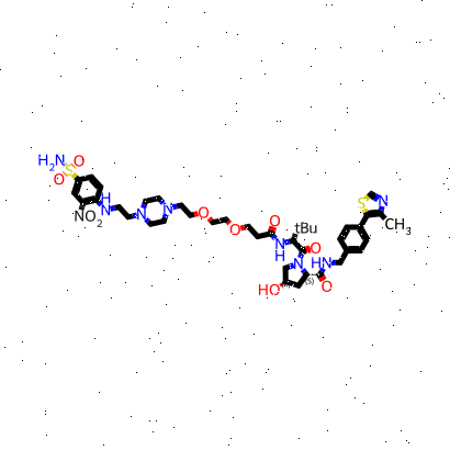 Cc1ncsc1-c1ccc(CNC(=O)[C@@H]2C[C@@H](O)CN2C(=O)C(NC(=O)CCOCCOCCN2CCN(CCNc3ccc(S(N)(=O)=O)cc3[N+](=O)[O-])CC2)C(C)(C)C)cc1